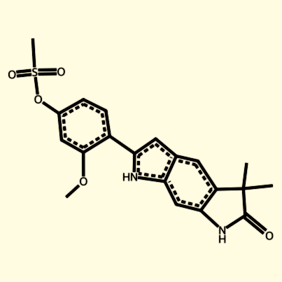 COc1cc(OS(C)(=O)=O)ccc1-c1cc2cc3c(cc2[nH]1)NC(=O)C3(C)C